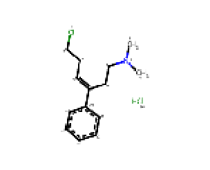 CN(C)CCC(=CCCCl)c1ccccc1.Cl